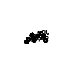 C=Cc1sc2cc(-c3c4ccccc4c(-c4ccc5ccccc5c4)c4ccccc34)ccc2c1-c1ccc2oc3c(c2c1C)CCC=C3